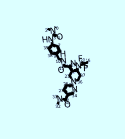 CN(C)C(=O)Nc1ccc(CNC(=O)c2nn(C(C)(F)F)c3c2CN(c2ccc(C(=O)N(C)C)cn2)CC3)cc1